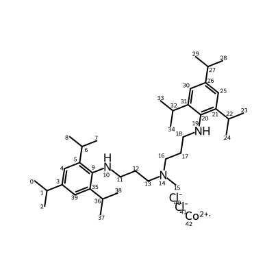 CC(C)c1cc(C(C)C)c(NCCCN(C)CCCNc2c(C(C)C)cc(C(C)C)cc2C(C)C)c(C(C)C)c1.[Cl-].[Cl-].[Co+2]